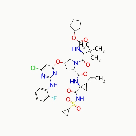 C=C[C@@H]1C[C@]1(NC(=O)[C@@H]1C[C@@H](Oc2cc(Cl)nc(Nc3ccccc3F)n2)CN1C(=O)[C@@H](NC(=O)OC1CCCC1)C(C)(C)C)C(=O)NS(=O)(=O)C1CC1